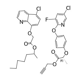 C#CCOC(=O)[C@@H](C)Oc1ccc(Oc2ncc(Cl)cc2F)cc1.CCCCCC(C)OC(=O)COc1ccc(Cl)c2cccnc12